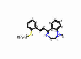 CCCCCSc1ccccc1C=CC1=NCCN(C)c2ccccc21